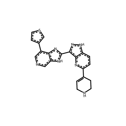 C1=C(c2ccc3[nH]nc(-c4nc5c(-c6ccsc6)cncc5[nH]4)c3n2)CCNC1